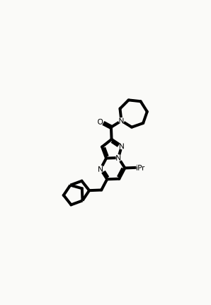 CC(C)c1cc(CC2CC3CCC2C3)nc2cc(C(=O)N3CCCCCC3)nn12